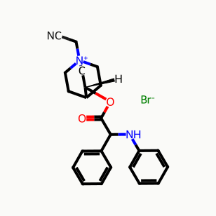 N#CC[N+]12CCC(CC1)[C@@H](OC(=O)C(Nc1ccccc1)c1ccccc1)C2.[Br-]